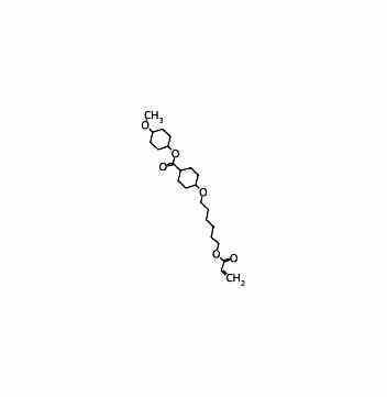 C=CC(=O)OCCCCCCOC1CCC(C(=O)OC2CCC(OC)CC2)CC1